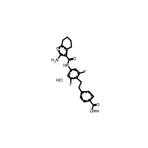 COC(=O)c1ccc(CCc2c(F)cc(NC(=O)c3c(N)sc4c3CCCC4)cc2F)cc1.Cl